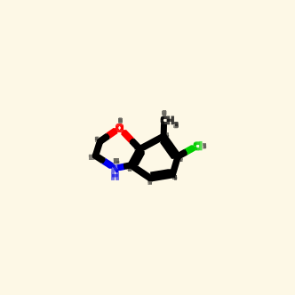 Cc1c(Cl)ccc2c1OCCN2